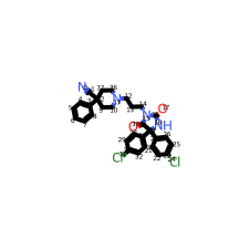 N#CC1(c2ccccc2)CCN(CCCN2C(=O)NC(c3ccc(Cl)cc3)(c3ccc(Cl)cc3)C2=O)CC1